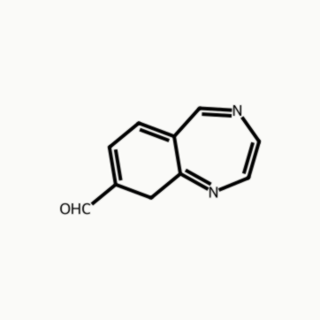 O=CC1=CC=C2C=NC=CN=C2C1